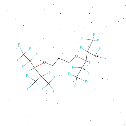 FC(F)(F)C(F)(F)C(F)(OCCCOC(F)(C(F)(F)C(F)(F)F)C(F)(C(F)(F)F)C(F)(F)F)C(F)(C(F)(F)F)C(F)(F)F